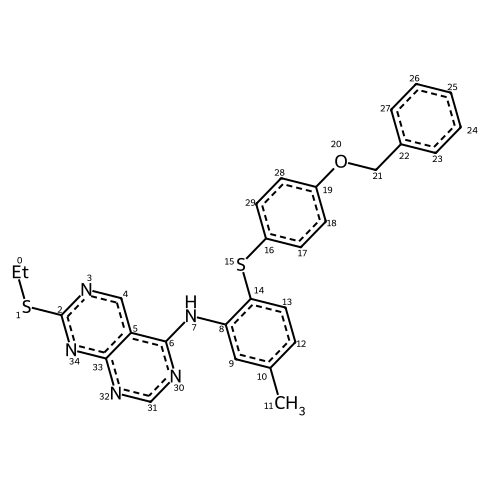 CCSc1ncc2c(Nc3cc(C)ccc3Sc3ccc(OCc4ccccc4)cc3)ncnc2n1